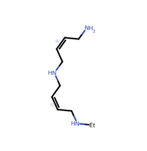 CCNC/C=C\CNC/C=C\CN